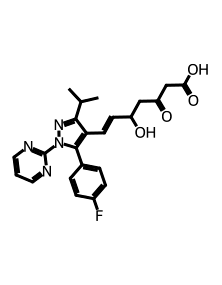 CC(C)c1nn(-c2ncccn2)c(-c2ccc(F)cc2)c1C=CC(O)CC(=O)CC(=O)O